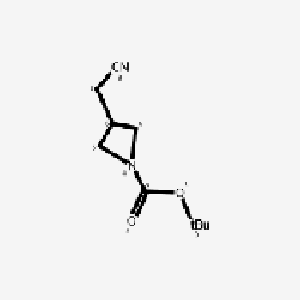 CC(C)(C)OC(=O)N1CC(CC#N)C1